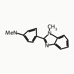 CNc1ccc(-c2nc3ccccc3n2C)cc1